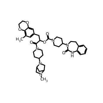 Cc1cc(CC(OC(=O)N2CCC(N3CCc4ccccc4NC3=O)CC2)C(=O)N2CCC(N3CC4CC3CN4C)CC2)cc2c1OCCO2